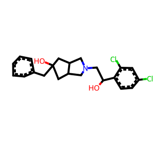 OC(CN1CC2CC(O)(Cc3ccccc3)CC2C1)c1ccc(Cl)cc1Cl